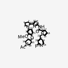 COc1cc(N2CCCC2c2csc(NC(=O)c3cccn3Cc3ccnc(F)c3)n2)ccc1OC1CCN(C(C)=O)CC1